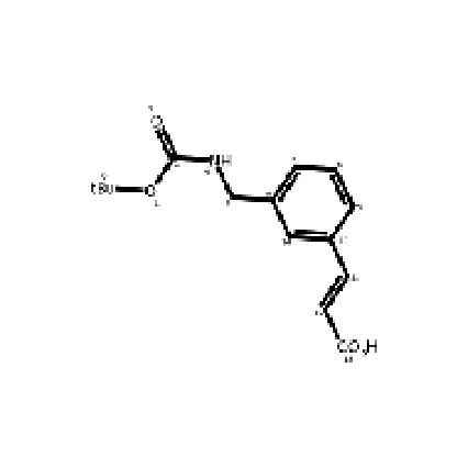 CC(C)(C)OC(=O)NCc1cccc(C=CC(=O)O)c1